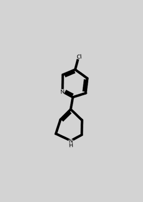 Clc1c[c]c(C2=CCNCC2)nc1